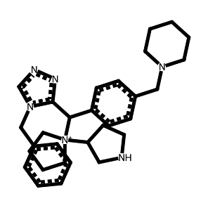 c1ccc(Cn2cnnc2C(c2ccc(CN3CCCCC3)cc2)[N+]2(C3CCNC3)CCCC2)cc1